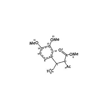 COC(=O)C(C(C)=O)C(C)c1ccc(OC)c(OC)c1